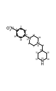 O=[N+]([O-])c1ccc(N2CCN(CC3CCNCC3)CC2)cc1